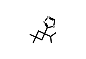 CC(C)C1(c2nncs2)CC(C)(C)C1